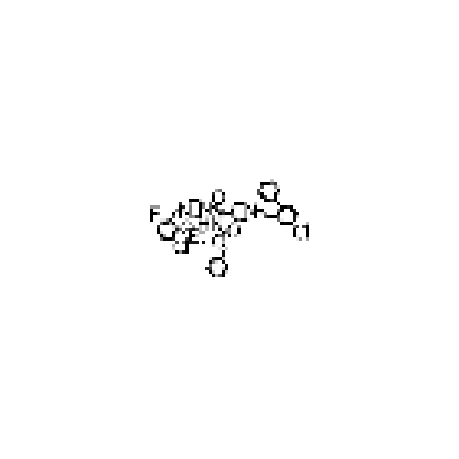 CCOc1c(Cl)ccc(F)c1CN1CCN(C(=O)[C@H](NC(=O)OCc2ccccc2)C2CCN(CCc3cc(Cl)ccc3-c3ccccc3)CC2)CC1